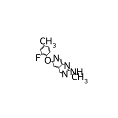 CNc1ncc2cc(Oc3ccc(C)cc3F)ncc2n1